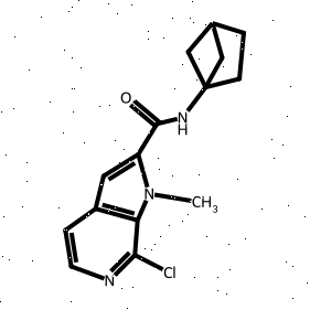 Cn1c(C(=O)NC23CCC(C2)C3)cc2ccnc(Cl)c21